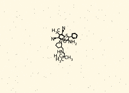 CCc1c(C#N)c(SC(C(N)=O)c2ccccc2)nc(N2CCCC(CNCC(C)(C)C)C2)c1C#N